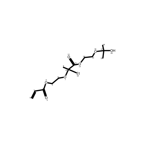 C=CC(=O)OCCOC(C)(CC)C(=O)OCCOC(C)(C)O